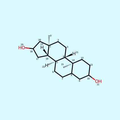 C[C@]12CC[C@H]3[C@@H](CCC4CC(O)CC[C@@]43C)[C@@H]1CC(O)C2